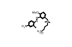 COc1ccc(C[N+](C)(C)CCCN)cc1N=Nc1ccc(N)cc1C.[Cl-]